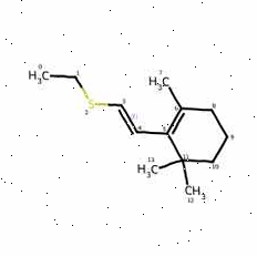 CCS/C=C/C1=C(C)CCCC1(C)C